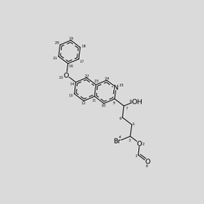 O=COC(Br)CCC(O)c1cc2ccc(Oc3ccccc3)cc2cn1